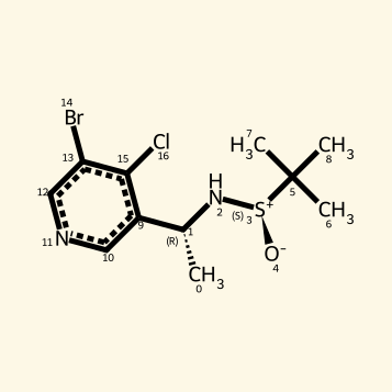 C[C@@H](N[S@+]([O-])C(C)(C)C)c1cncc(Br)c1Cl